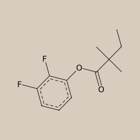 CCC(C)(C)C(=O)Oc1cccc(F)c1F